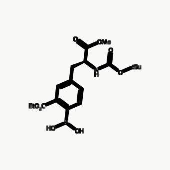 CCOC(=O)c1cc(C[C@H](NC(=O)OC(C)(C)C)C(=O)OC)ccc1B(O)O